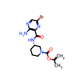 C=C(C)OC(=O)N1CCC[C@H](NC(=O)c2nc(Br)cnc2N)C1